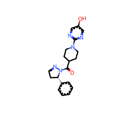 O=C(C1CCN(c2ncc(O)cn2)CC1)N1N=CC[C@H]1c1ccccc1